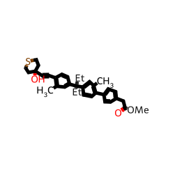 CCC(CC)(c1ccc(C#CC2(O)CCSCC2)c(C)c1)c1ccc(-c2ccc(CC(=O)OC)cc2)c(C)c1